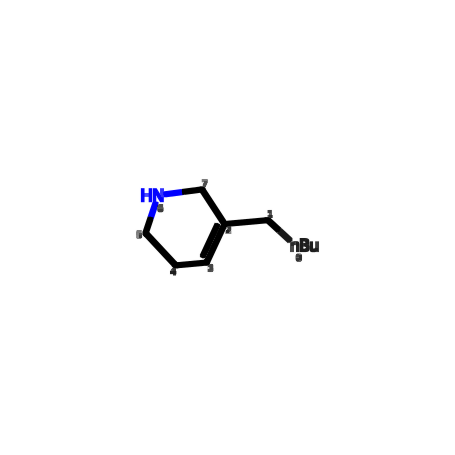 CCCCCC1=CCCNC1